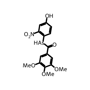 COc1cc(C(=O)[AsH]c2ccc(O)cc2[N+](=O)[O-])cc(OC)c1OC